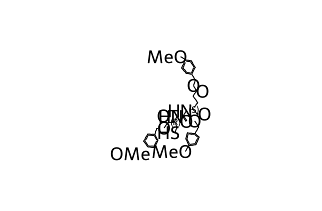 COc1ccc(COC(=O)CC[C@H](NC(=O)N[C@@H](CS)C(=O)OCc2ccc(OC)cc2)C(=O)OCc2ccc(OC)cc2)cc1